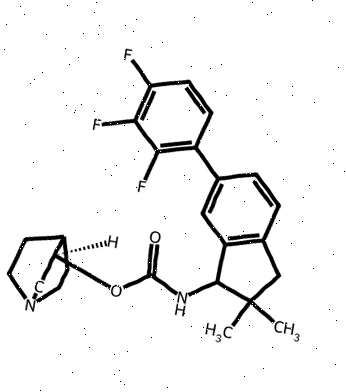 CC1(C)Cc2ccc(-c3ccc(F)c(F)c3F)cc2C1NC(=O)O[C@H]1CN2CCC1CC2